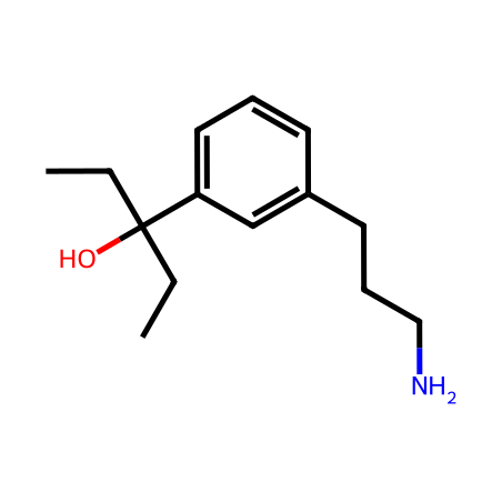 CCC(O)(CC)c1cccc(CCCN)c1